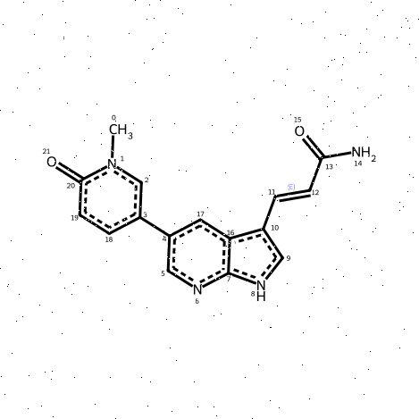 Cn1cc(-c2cnc3[nH]cc(/C=C/C(N)=O)c3c2)ccc1=O